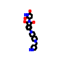 O=C1CCC(N2C(=O)c3ccc(N4CCC5(CCN(CC6CCNCC6)CC5)CC4)cc3C2=O)C(=O)N1